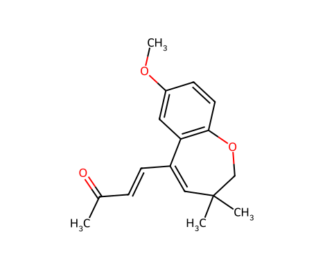 COc1ccc2c(c1)C(/C=C/C(C)=O)=CC(C)(C)CO2